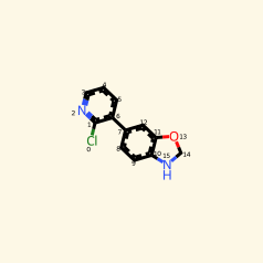 Clc1ncccc1-c1ccc2c(c1)OCN2